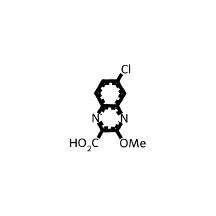 COc1nc2cc(Cl)ccc2nc1C(=O)O